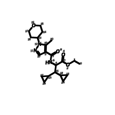 CCOC(=O)C(NC(=O)c1cnn(C2CCOCC2)c1C)C(C1CC1)C1CC1